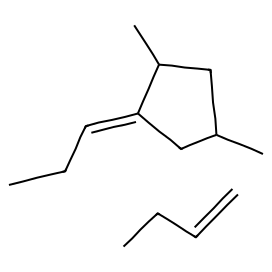 C=CCC.CCC=C1CC(C)CC1C